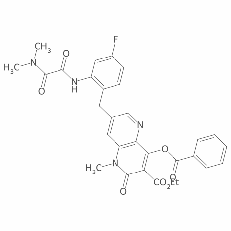 CCOC(=O)c1c(OC(=O)c2ccccc2)c2ncc(Cc3ccc(F)cc3NC(=O)C(=O)N(C)C)cc2n(C)c1=O